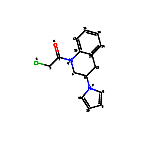 O=C(CCl)N1CC(n2cccc2)Cc2ccccc21